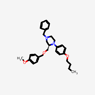 CCCCOc1ccc(N2CCN(Cc3ccccc3)C[C@@H]2COCc2ccc(OC)cc2)cc1